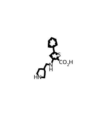 O=C(O)c1sc(-c2ccccc2)cc1NCC1CCNCC1